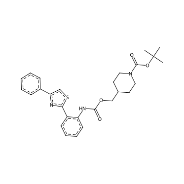 CC(C)(C)OC(=O)N1CCC(COC(=O)Nc2ccccc2-c2nc(-c3ccccc3)cs2)CC1